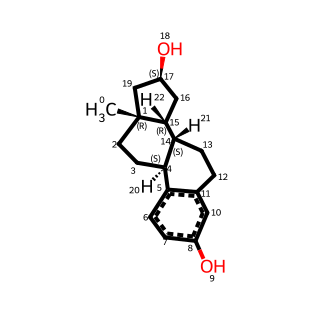 C[C@]12CC[C@@H]3c4ccc(O)cc4CC[C@H]3[C@H]1C[C@H](O)C2